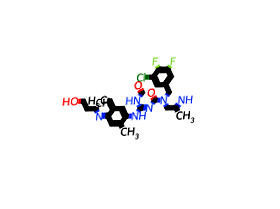 C/C=C1/C=C(N/C(=N/C(=O)N(CC(C)=N)Cc2cc(F)c(F)c(Cl)c2)NC=O)C(C)=C/C1=N/C(C)CCO